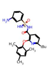 Cc1cc(C)c(Oc2nc(C(C)(C)C)ccc2C(=O)N[S@](=N)(=O)c2cccc(N)c2)c(C)c1